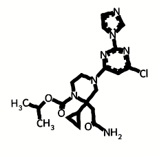 CC(C)OC(=O)N1CCN(c2cc(Cl)nc(-n3ccnc3)n2)CC1(CC(N)=O)C1CC1